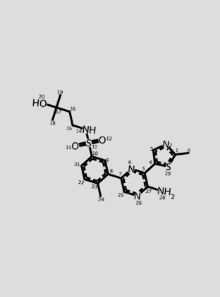 Cc1ncc(-c2nc(-c3cc(S(=O)(=O)NCCC(C)(C)O)ccc3C)cnc2N)s1